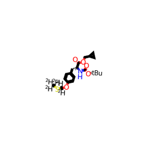 [2H]C([2H])([2H])SC([2H])([2H])Oc1ccc(C[C@@H](NC(=O)OC(C)(C)C)C(=O)OCC2CC2)cc1